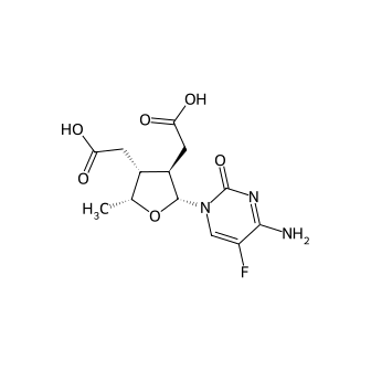 C[C@H]1O[C@@H](n2cc(F)c(N)nc2=O)[C@H](CC(=O)O)[C@H]1CC(=O)O